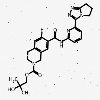 CC(C)(O)COC(=O)N1CCc2cc(F)c(C(=O)Nc3cccc(-c4nnc5n4CCC5)n3)cc2C1